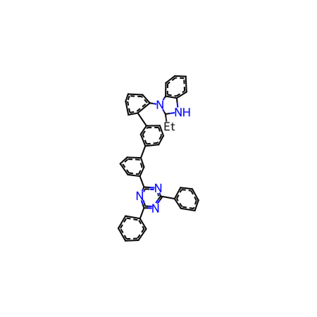 CCC1Nc2ccccc2N1c1ccccc1-c1cccc(-c2cccc(-c3nc(-c4ccccc4)nc(-c4ccccc4)n3)c2)c1